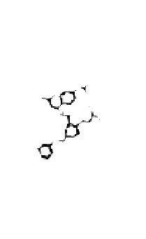 CC(C)CC(NC(=O)c1cc(COc2ccccc2)ccc1CCC(=O)O)c1ccc(OC(F)F)cc1